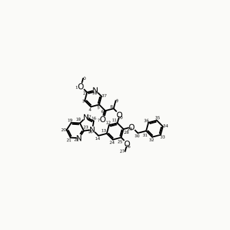 COc1ccc(C(=O)C(C)Oc2cc(Cn3cnc4cccnc43)cc(OC)c2OCc2ccccc2)cn1